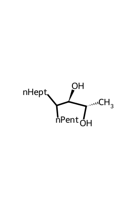 CCCCCCCC(CCCCC)[C@@H](O)[C@H](C)O